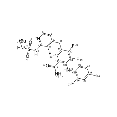 CC(C)(C)NS(=O)(=O)Nc1nccc(Cc2cc(C(N)=O)c(Nc3ccc(I)cc3F)c(F)c2F)c1F